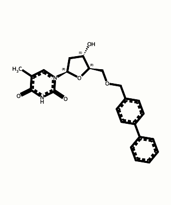 Cc1cn([C@H]2C[C@H](O)[C@@H](COCc3ccc(-c4ccccc4)cc3)O2)c(=O)[nH]c1=O